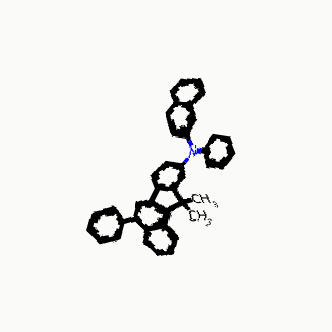 CC1(C)c2cc(N(c3ccccc3)c3ccc4ccccc4c3)ccc2-c2cc(-c3ccccc3)c3ccccc3c21